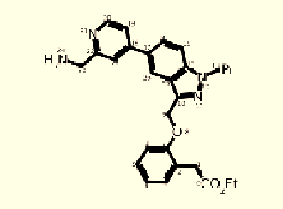 CCOC(=O)Cc1ccccc1OCc1nn(C(C)C)c2ccc(-c3ccnc(CN)c3)cc12